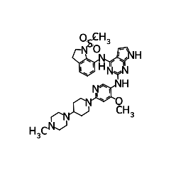 COc1cc(N2CCC(N3CCN(C)CC3)CC2)ncc1Nc1nc(Nc2cccc3c2N(S(C)(=O)=O)CC3)c2cc[nH]c2n1